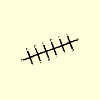 FC(F)(F)C(F)(F)C(F)(F)C(F)(F)C(F)(I)C(F)(F)F